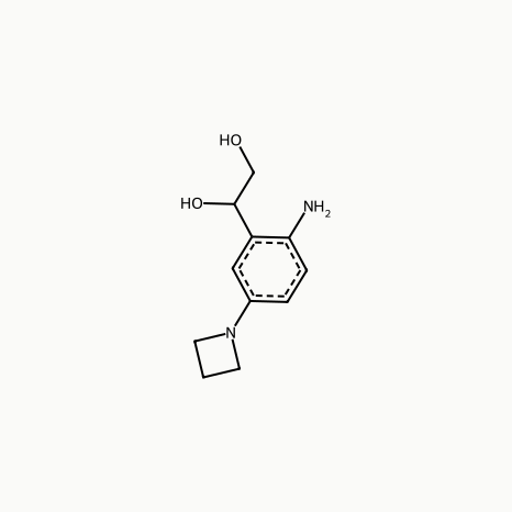 Nc1ccc(N2CCC2)cc1C(O)CO